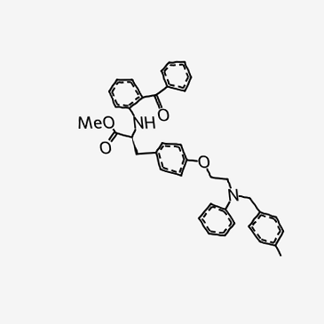 COC(=O)[C@H](Cc1ccc(OCCN(Cc2ccc(C)cc2)c2ccccc2)cc1)Nc1ccccc1C(=O)c1ccccc1